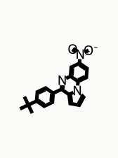 CC(C)(C)c1ccc(-c2nc3cc([N+](=O)[O-])ccc3n3cccc23)cc1